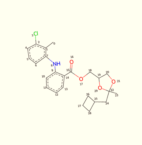 Cc1c(Cl)cccc1Nc1ccccc1C(=O)OCC1COC(C)(CC2CCC2)O1